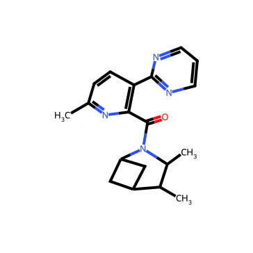 Cc1ccc(-c2ncccn2)c(C(=O)N2C3CC(C3)C(C)C2C)n1